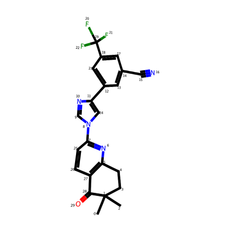 CC1(C)CCc2nc(-n3cnc(-c4cc(C#N)cc(C(F)(F)F)c4)c3)ccc2C1=O